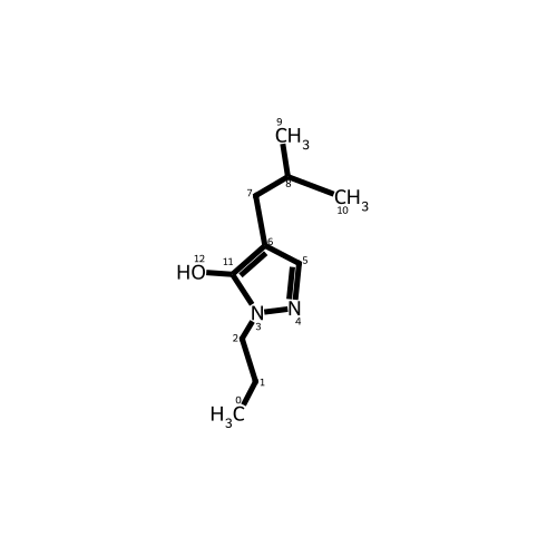 CCCn1ncc(CC(C)C)c1O